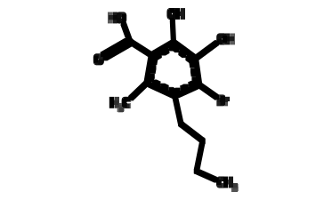 CCCCc1c(C)c(C(=O)O)c(O)c(O)c1Br